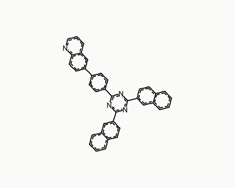 c1ccc2cc(-c3nc(-c4ccc(-c5ccc6ncccc6c5)cc4)nc(-c4ccc5ccccc5c4)n3)ccc2c1